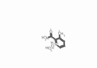 Cc1cccnc1C(N)=O.Cl.Cl